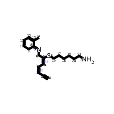 C#C/C=C\C=C(/C/N=C1\CC=CC=C1C)SCCCCCCN